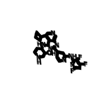 OC1CNCCC1Nc1nc(-c2ccnc(Nc3nc(F)cc(F)c3F)c2)nc2cncc(C3CCC3)c12